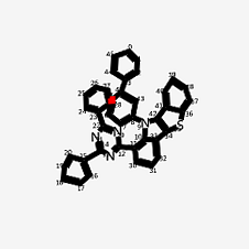 c1ccc(-c2cccc(-n3c4c(-c5nc(-c6ccccc6)nc(-c6ccccc6)n5)cccc4c4sc5ccccc5c43)c2)cc1